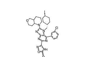 O=c1[nH]c(-c2nc(-c3cccc(Cl)c3)c3c(n2)nc(N2CCCC4COCCC42)n3C[C@H]2CC[C@H](I)CC2)no1